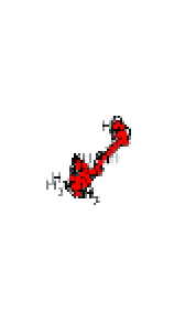 CC[C@H](C(=O)N1CCCCC1C(=O)O[C@H](CCc1ccc(OC)c(OC)c1)c1cccc(OCC(=O)NCCCCCCOc2cccc3c2C(=O)N(C2CCC(=O)NC2=O)C3=O)c1)c1cc(OC)c(OC)c(OC)c1